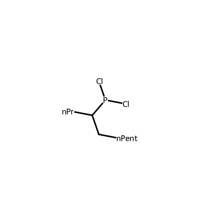 CCCCCCC(CCC)P(Cl)Cl